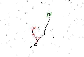 OCCOCCOCC(COCCCCCCCCCCCCCCCC(F)(F)C(F)(F)C(F)(F)F)OCc1ccccc1